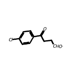 O=[C]CCC(=O)c1ccc(Cl)cc1